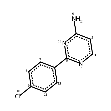 Nc1ccnc(-c2ccc(Cl)cc2)n1